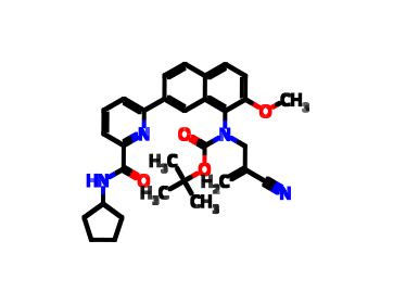 C=C(C#N)CN(C(=O)OC(C)(C)C)c1c(OC)ccc2ccc(-c3cccc(C(=O)NC4CCCC4)n3)cc12